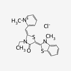 CCn1c(=O)/c(=C2\Sc3ccccc3N2C)s/c1=C\c1cccc[n+]1C.[Cl-]